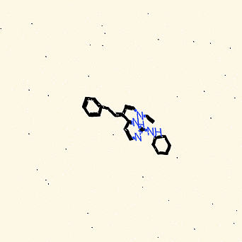 C=CN/C=C\C(=C/Cc1ccccc1)c1ccnc(NC2CCCCC2)n1